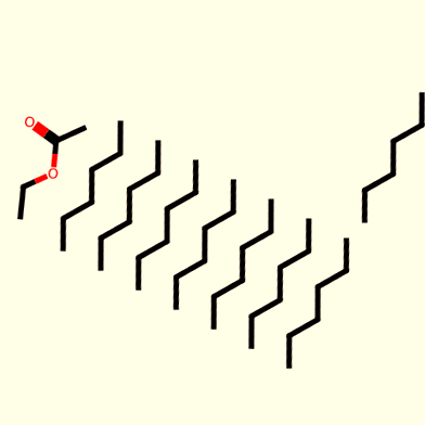 CCCCCC.CCCCCC.CCCCCC.CCCCCC.CCCCCC.CCCCCC.CCCCCC.CCCCCC.CCOC(C)=O